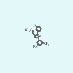 O=C(O)/C=C/c1cn(-c2cc(C(F)(F)F)cc(C(F)(F)F)c2)nc1-c1cccc(Cl)c1